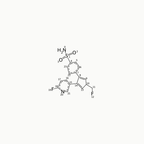 NS(=O)(=O)c1ccc(C2=CC(CF)C=C2c2ccc(F)nc2)cc1